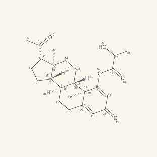 CC(=O)[C@H]1CC[C@H]2[C@@H]3CCC4=CC(=O)C=C(OC(=O)C(C)O)[C@]4(C)[C@H]3CC[C@]12C